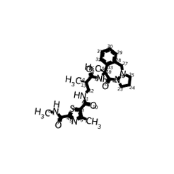 CNC(=O)c1nc(C)c(C(=O)NC[C@@H](C)C(=O)N[C@@]2(C)C(=O)N3CCCN3Cc3ccccc32)s1